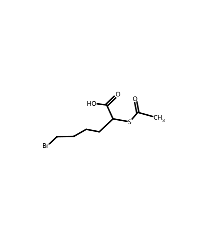 CC(=O)SC(CCCCBr)C(=O)O